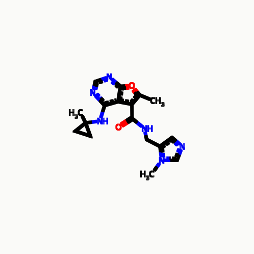 Cc1oc2ncnc(NC3(C)CC3)c2c1C(=O)NCc1cncn1C